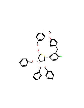 CCOc1ccc(Cc2cc([C@@H]3S[C@H](COCc4ccccc4)[C@@H](OCc4ccccc4)[C@H](OCc4ccccc4)[C@H]3OCc3ccccc3)ccc2Cl)cc1